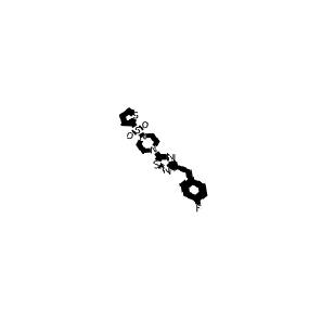 O=S(=O)(c1cccs1)N1CCN(c2nc(Cc3ccc(F)cc3)ns2)CC1